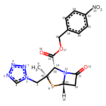 C[C@@]1(Cn2cnnn2)S[C@H]2CC(=O)N2[C@H]1C(=O)OCc1ccc([N+](=O)[O-])cc1